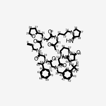 C=CCN(CC(=O)N(CC(=O)N(CCCN1CCCC1=N)CC(C)=O)CC1CCCO1)C(=O)CN(C(=O)CN(Cc1cccc(C(F)(F)F)c1)C(=O)CN(N)CCCN1CCCC1=O)C(C)c1ccccc1